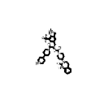 O=C(O[C@H](Cc1cc(C(F)(F)F)c2[nH]ncc2c1)C(=O)N1CCC(C2CCNCC2)CC1)N1CCC(N2CCc3ccccc3NC2=O)CC1